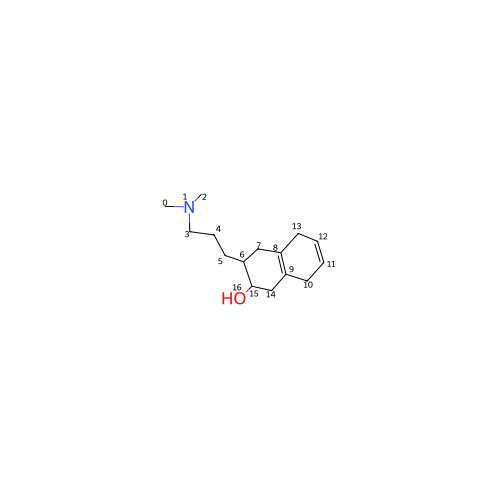 CN(C)CCCC1CC2=C(CC=CC2)CC1O